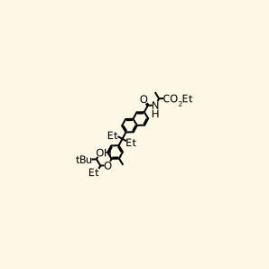 CCOC(=O)C(C)NC(=O)c1ccc2cc(C(CC)(CC)c3ccc(OC(CC)C(O)C(C)(C)C)c(C)c3)ccc2c1